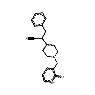 N#CC(Cc1ccccc1)C1CCN(Cc2ccc[nH]c2=O)CC1